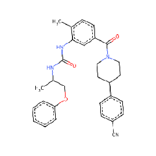 Cc1ccc(C(=O)N2CCC(c3ccc(C#N)cc3)CC2)cc1NC(=O)NC(C)COc1ccccc1